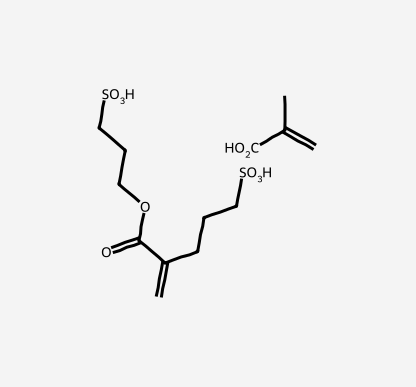 C=C(C)C(=O)O.C=C(CCCS(=O)(=O)O)C(=O)OCCCS(=O)(=O)O